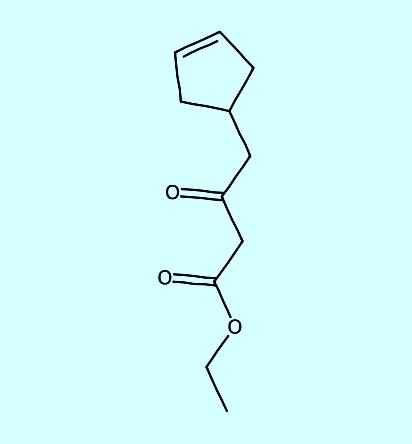 CCOC(=O)CC(=O)CC1CC=CC1